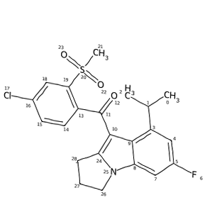 CC(C)c1cc(F)cc2c1c(C(=O)c1ccc(Cl)cc1S(C)(=O)=O)c1n2CC[C]1